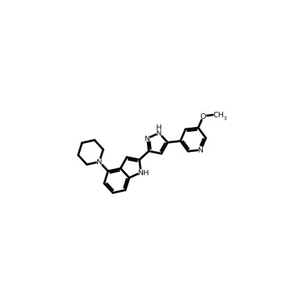 COc1cncc(-c2cc(-c3cc4c(N5CCCCC5)cccc4[nH]3)n[nH]2)c1